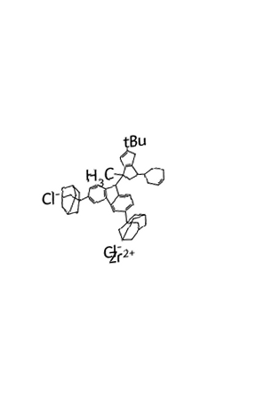 CC(C)(C)C1=CC2=C(C1)C(C1CC=CCC1)CC2(C)C1c2ccc(C34CC5CC(CC(C5)C3)C4)cc2-c2cc(C34CC5CC(CC(C5)C3)C4)ccc21.[Cl-].[Cl-].[Zr+2]